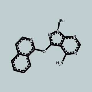 CC(C)(C)n1nc(Oc2nccc3ccccc23)c2c(N)ncnc21